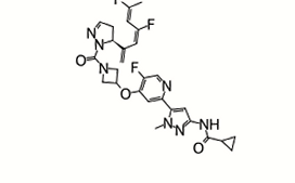 C=C(/C=C(F)\C=C(/C)F)[C@@H]1CC=NN1C(=O)N1CC(Oc2cc(-c3cc(NC(=O)C4CC4)nn3C)ncc2F)C1